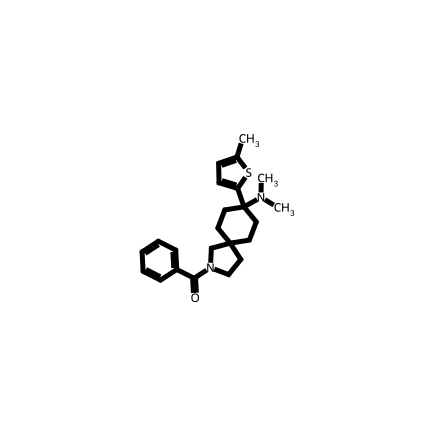 Cc1ccc(C2(N(C)C)CCC3(CCN(C(=O)c4ccccc4)C3)CC2)s1